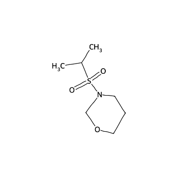 CC(C)S(=O)(=O)N1CCCOC1